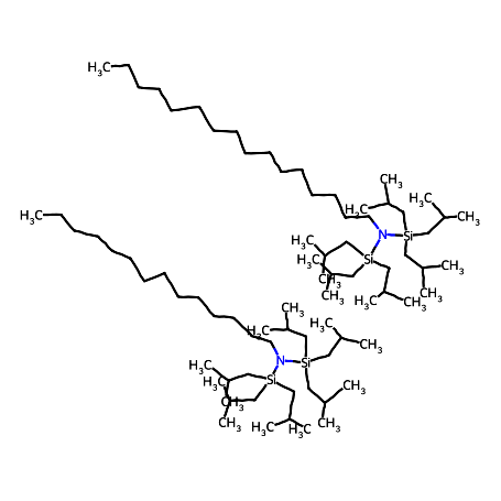 CCCCCCCCCCCCCCCCN([Si](CC(C)C)(CC(C)C)CC(C)C)[Si](CC(C)C)(CC(C)C)CC(C)C.CCCCCCCCCCCCCCN([Si](CC(C)C)(CC(C)C)CC(C)C)[Si](CC(C)C)(CC(C)C)CC(C)C